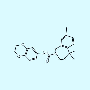 Cc1ccc2c(c1)CN(C(=O)Nc1ccc3c(c1)OCCO3)CCC2(C)C